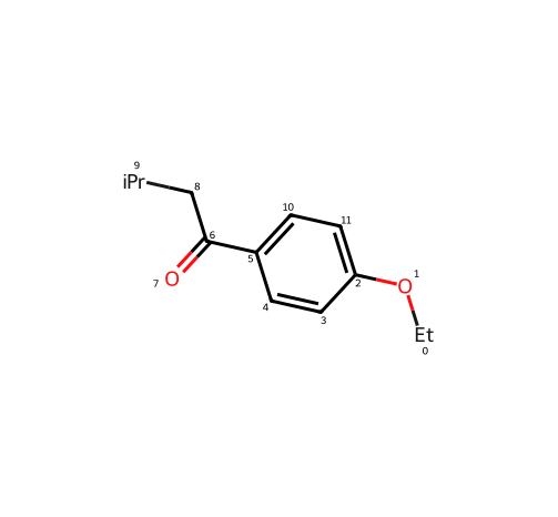 CCOc1ccc(C(=O)CC(C)C)cc1